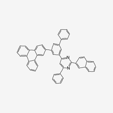 c1ccc(-c2cc(-c3ccc4c5ccccc5c5ccccc5c4c3)cc(-c3cc(-c4ccccc4)nc(-c4ccc5ccccc5c4)n3)c2)cc1